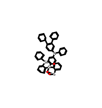 c1ccc(-c2ccc(N(c3ccccc3)c3ccc4c(c3)[SiH](c3ccccc3)c3ccccc3[Si]43c4ccccc4Sc4ccccc43)cc2-c2ccccc2)cc1